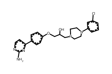 Nc1nccc(-c2ccc(OCC(O)CN3CCN(c4cccc(Cl)c4)CC3)cc2)n1